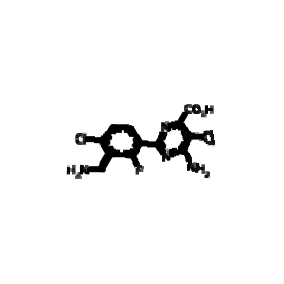 NCc1c(Cl)ccc(-c2nc(N)c(Cl)c(C(=O)O)n2)c1F